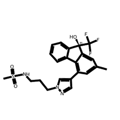 Cc1cc(-c2cnn(CCCNS(C)(=O)=O)c2)c2c(c1)[C@@](O)(C(F)(F)F)c1ccccc1-2